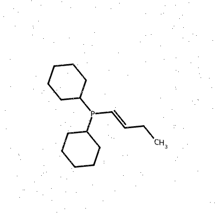 CCC=CP(C1CCCCC1)C1CCCCC1